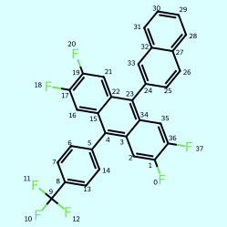 Fc1cc2c(-c3ccc(C(F)(F)F)cc3)c3cc(F)c(F)cc3c(-c3ccc4ccccc4c3)c2cc1F